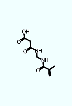 C=C(C)C(=O)NCNC(=O)CC(=O)O